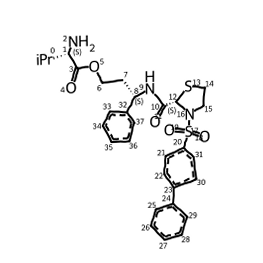 CC(C)[C@H](N)C(=O)OCC[C@H](NC(=O)[C@@H]1SCCN1S(=O)(=O)c1ccc(-c2ccccc2)cc1)c1ccccc1